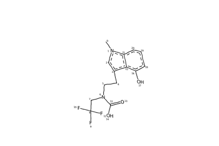 Cn1cc(CCN(CC(F)(F)F)C(=O)O)c2c(O)cccc21